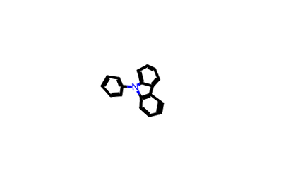 c1ccc2c(c#1)c1ccccc1n2-c1ccccc1